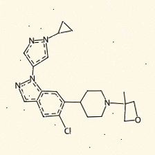 CC1(N2CCC(c3cc4c(cnn4-c4cnn(C5CC5)c4)cc3Cl)CC2)COC1